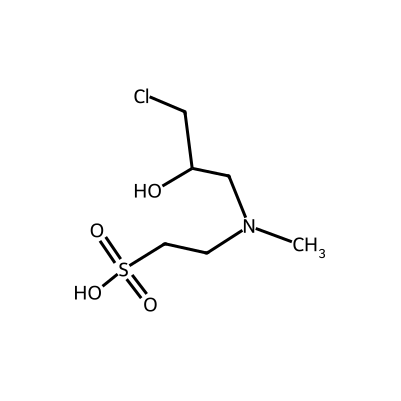 CN(CCS(=O)(=O)O)CC(O)CCl